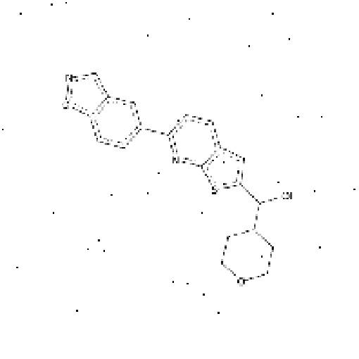 OC(c1cc2ccc(-c3ccc4oncc4c3)nc2s1)C1CCOCC1